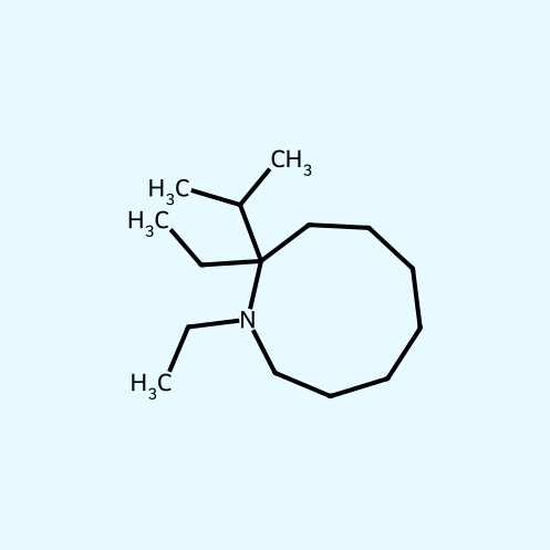 CCN1CCCCCCCC1(CC)C(C)C